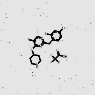 Fc1cc(Cl)ccc1Cc1ncc(F)c(OC2CCNCC2)n1.O=C(O)C(F)(F)F